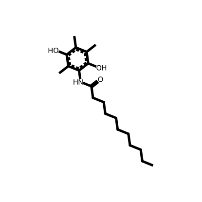 CCCCCCCCCCC(=O)Nc1c(C)c(O)c(C)c(C)c1O